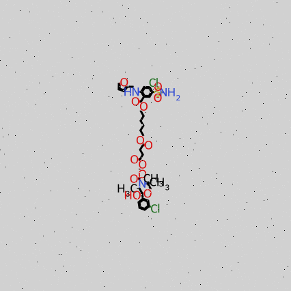 C[C@@H]1N(C(=O)OCOC(=O)CCC(=O)OCCCCCCOC(=O)c2cc(S(N)(=O)=O)c(Cl)cc2NCc2ccco2)C(C)(C)CO[C@@]1(O)c1cccc(Cl)c1